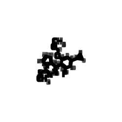 COCOc1cc(C2CC2)cc(F)c1-c1nnc(SC)n2cccc12